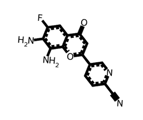 N#Cc1ccc(-c2cc(=O)c3cc(F)c(N)c(N)c3o2)cn1